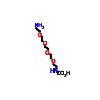 NCCOCCOCCOCCOCCNC(=O)O